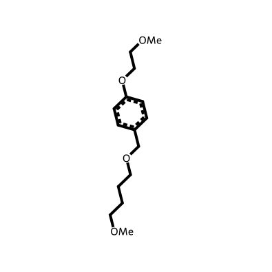 COCCCCOCc1ccc(OCCOC)cc1